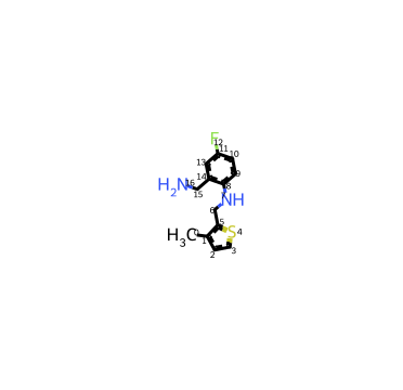 Cc1ccsc1CNc1ccc(F)cc1CN